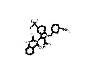 Nc1cccc(Cn2c(C(=O)O)c(-n3c(=O)[nH]c4ccccc4c3=O)c3cc(C(F)(F)F)ccc32)c1